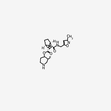 Cc1cc(CNC(=O)[C@H]2[C@H](C(=O)OC3CCNCC3F)[C@H]3CC[C@@H]2C32CC2)on1